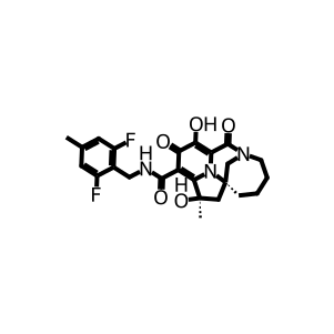 Cc1cc(F)c(CNC(=O)c2c3n4c(c(O)c2=O)C(=O)N2CCCC[C@]4(C2)C[C@@]3(C)O)c(F)c1